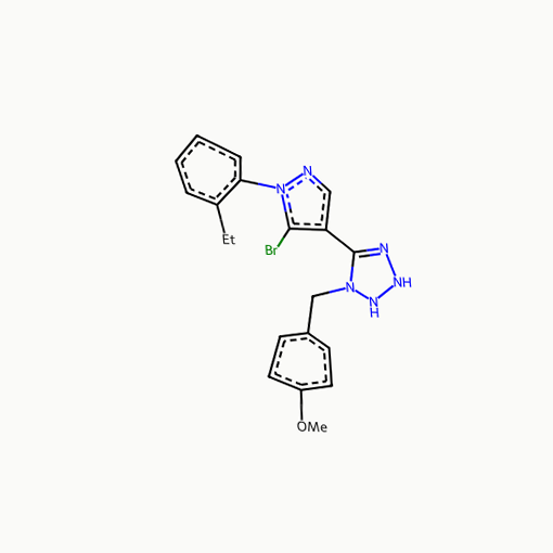 CCc1ccccc1-n1ncc(C2=NNNN2Cc2ccc(OC)cc2)c1Br